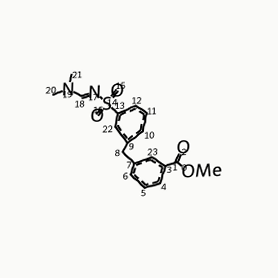 COC(=O)c1cccc(Cc2cccc(S(=O)(=O)/N=C/N(C)C)c2)c1